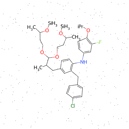 CC(C)Oc1ccc(Nc2ccc(CC(C)C(OCCC(C)O[SiH3])OCCC(C)O[SiH3])cc2Cc2ccc(Cl)cc2)cc1F